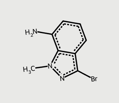 Cn1nc(Br)c2cccc(N)c21